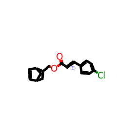 O=C(/C=C/c1ccc(Cl)cc1)OCC1CC2C=CC1C2